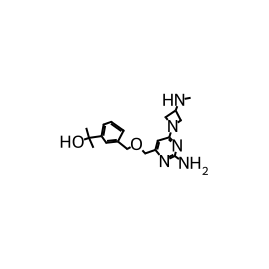 CNC1CN(c2cc(COCc3cccc(C(C)(C)O)c3)nc(N)n2)C1